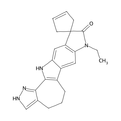 CCN1C(=O)C2(CC=CC2)c2cc3[nH]c4c(c3cc21)CCCc1c[nH]nc1-4